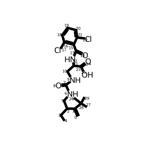 C=C(C(CC)CNC(=O)NCC(NC(=O)c1c(Cl)cccc1Cl)C(=O)O)C(C)(C)C